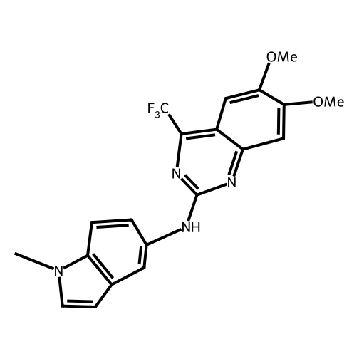 COc1cc2nc(Nc3ccc4c(ccn4C)c3)nc(C(F)(F)F)c2cc1OC